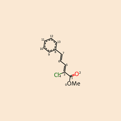 COC(=O)C(Cl)=CC=Cc1ccccc1